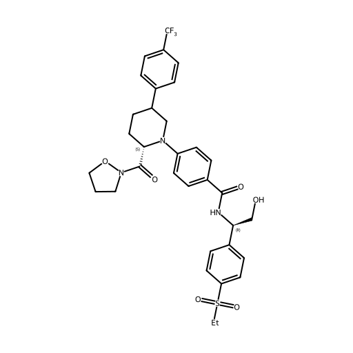 CCS(=O)(=O)c1ccc([C@H](CO)NC(=O)c2ccc(N3CC(c4ccc(C(F)(F)F)cc4)CC[C@H]3C(=O)N3CCCO3)cc2)cc1